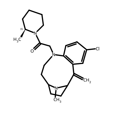 C=C1c2cc(Cl)ccc2N(CC(=O)N2CCCC[C@@H]2C)CCC2CCC1N2C